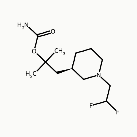 CC(C)(C[C@H]1CCCN(CC(F)F)C1)OC(N)=O